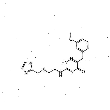 COc1cccc(Cc2n[nH]c(NCCSCc3nccs3)nc2=O)c1